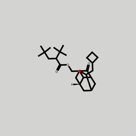 CC(C)(C)CC(C(=O)OCOC1C2CC3C[C@@H]1CC(C2=O)C3CC1CCC1)C(C)(C)C